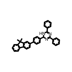 CC1(C)c2ccccc2-c2ccc(-c3ccc(C4N=C(c5ccccc5)N=C(c5ccccc5)N4)cc3)cc21